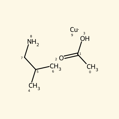 CC(=O)O.CC(C)CN.[Cu]